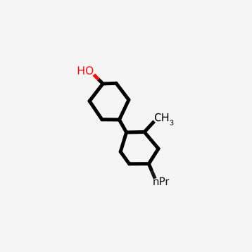 CCCC1CCC(C2CCC(O)CC2)C(C)C1